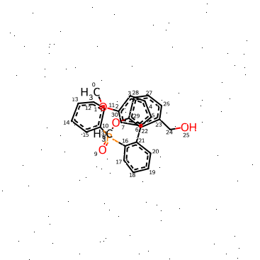 COc1ccccc1[P@@](=O)(c1ccccc1)c1ccccc1-c1c(CO)cccc1OC